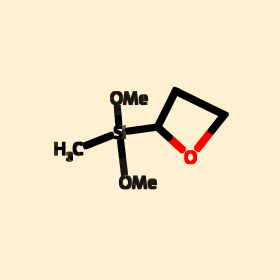 CO[Si](C)(OC)C1CCO1